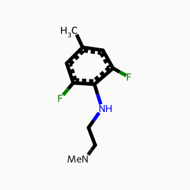 CNCCNc1c(F)cc(C)cc1F